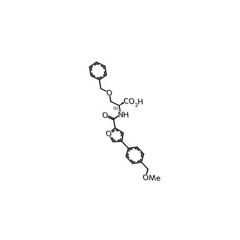 COCc1ccc(-c2coc(C(=O)N[C@@H](COCc3ccccc3)C(=O)O)c2)cc1